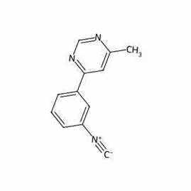 [C-]#[N+]c1cccc(-c2cc(C)ncn2)c1